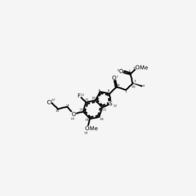 COC(=O)[C@@H](C)CC(=O)c1cc2c(F)c(OCCCl)c(OC)cc2s1